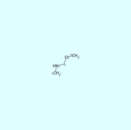 [CH2]NCOC